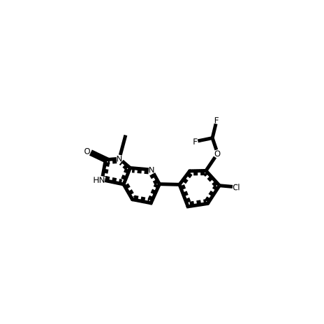 Cn1c(=O)[nH]c2ccc(-c3ccc(Cl)c(OC(F)F)c3)nc21